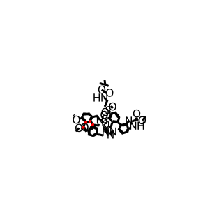 COC(=O)c1nc2c(-c3ccc(S(=O)(=O)CCNC(=O)OC(C)(C)C)c(S(=O)(=O)N(Cc4ccc(OC)cc4)Cc4ccc(OC)cc4)c3-c3nnn(Cc4ccc(OC)cc4)n3)cccc2[nH]1